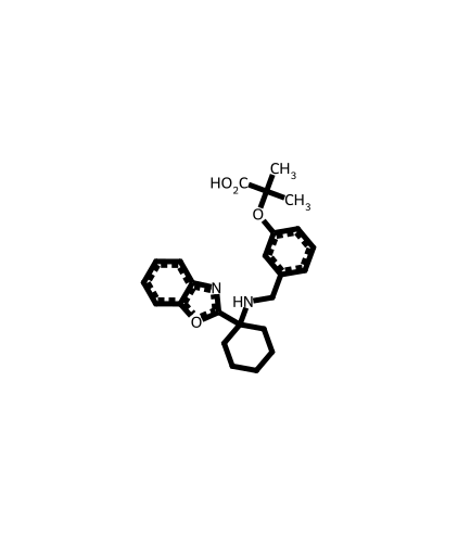 CC(C)(Oc1cccc(CNC2(c3nc4ccccc4o3)CCCCC2)c1)C(=O)O